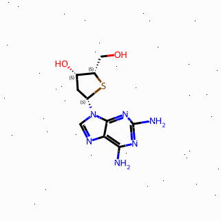 Nc1nc(N)c2ncn([C@@H]3C[C@H](O)[C@H](CO)S3)c2n1